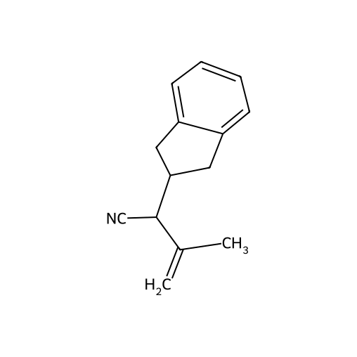 C=C(C)C(C#N)C1Cc2ccccc2C1